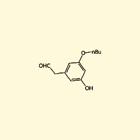 CCCCOc1cc(O)cc(CC=O)c1